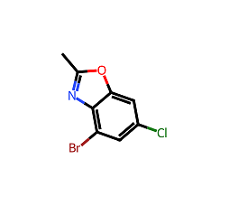 Cc1nc2c(Br)cc(Cl)cc2o1